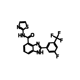 O=C(Nc1nccs1)c1cccc2[nH]c(-c3cc(F)cc(C(F)(F)F)c3)nc12